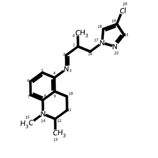 CC(/C=N/c1cccc2c1CCC(C)N2C)Cn1cc(Cl)cn1